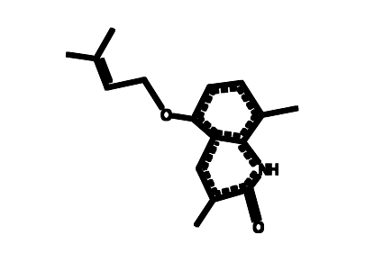 CC(C)=CCOc1ccc(C)c2[nH]c(=O)c(C)cc12